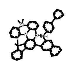 CC1(C)c2ccccc2-c2cc(-c3cc4ccccc4cc3Nc3ccc(-c4ccccc4)cc3)c3c(c21)N1c2ccccc2[Si](C)(C)c2cccc(c21)B3